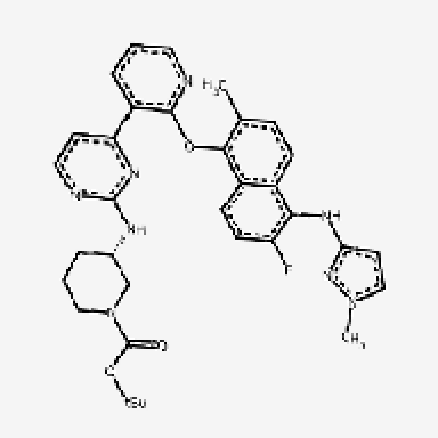 Cc1ccc2c(Nc3ccn(C)n3)c(F)ccc2c1Oc1ncccc1-c1ccnc(N[C@H]2CCCN(C(=O)OC(C)(C)C)C2)n1